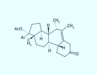 CC(=O)O[C@]1(C(C)=O)CC[C@H]2[C@H]3[C@H](CC[C@@]21C)[C@H]1CCC(=O)CC1=C(C)[C@H]3C